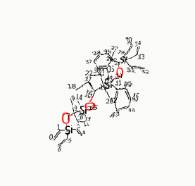 C=C[Si](C=C)(C=C)OC(C)(CC)[Si](C)(C)O[C@@H](CC)C(C)(CC)[Si](OC(CC)[Si](C=C)(C=C)C=C)(c1ccccc1)c1ccccc1